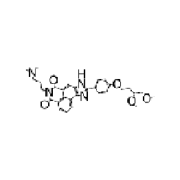 COCC(CCOc1ccc(-c2nc3c(cc4c5c(cccc53)C(=O)N(CCCN(C)C)C4=O)[nH]2)cc1)OC